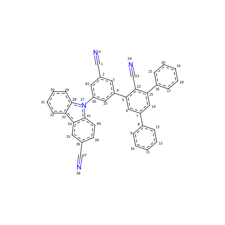 N#Cc1cc(-c2cc(-c3ccccc3)cc(-c3ccccc3)c2C#N)cc(-n2c3ccccc3c3cc(C#N)ccc32)c1